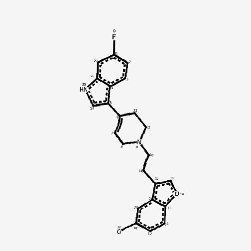 Fc1ccc2c(C3=CCN(CCc4coc5ccc(Cl)cc45)CC3)c[nH]c2c1